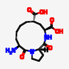 N[C@H]1CCCC[C@H](C(=O)O)C[C@@H](C(=O)O)NC(=O)[C@@H]2CCCN2C1=O